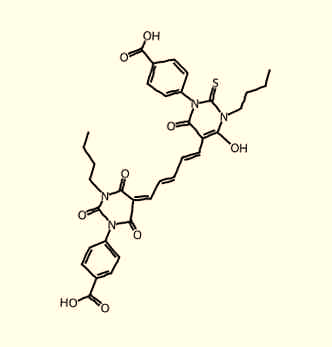 CCCCN1C(=O)\C(=C/C=C/C=C/c2c(O)n(CCCC)c(=S)n(-c3ccc(C(=O)O)cc3)c2=O)C(=O)N(c2ccc(C(=O)O)cc2)C1=O